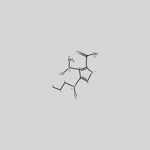 CCC[S+]([O-])c1csc(C(=O)O)c1[S+](N)[O-]